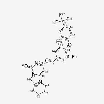 O=c1nc(OCc2cc(F)c(Oc3ccc(C(F)(F)F)nc3)c(F)c2)cc2n1CC1CCCCN21